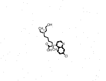 CCN(CCO)CCCC[N+](C)(C(=O)O)c1ccnc2cc(Cl)ccc12